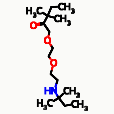 CCC(C)(C)NCCOCCOCC(=O)C(C)(C)CC